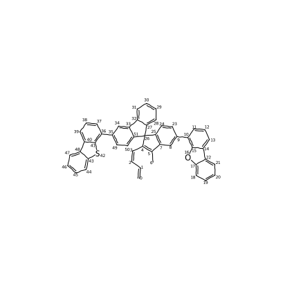 C=C/C=C\C1=C(C)c2cc(-c3cccc4c3oc3ccccc34)ccc2C12c1ccccc1-c1cc(-c3cccc4c3sc3ccccc34)ccc12